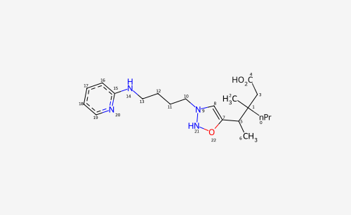 CCCC(C)(CC(=O)O)C(C)C1=CN(CCCCNc2ccccn2)NO1